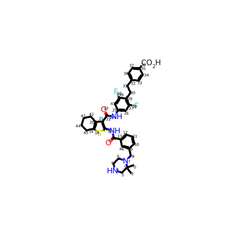 CC1(C)CNCCN1Cc1cccc(C(=O)Nc2sc3c(c2C(=O)Nc2cc(F)c(CCc4ccc(C(=O)O)cc4)c(F)c2)CCCC3)c1